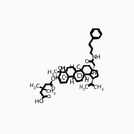 C=C(C)[C@@H]1CC[C@]2(CC(=O)NCCCc3ccccc3)CC[C@]3(C)[C@H](CC[C@@H]4[C@@]5(C)CC[C@H](OC(=O)CC(C)(C)CC(=O)O)C(C)(C)[C@@H]5CC[C@]43C)[C@@H]12